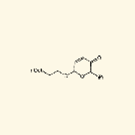 CCCCCCCCCCOC1C=CC(=O)C(C(C)C)O1